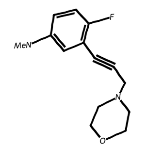 CNc1ccc(F)c(C#CCN2CCOCC2)c1